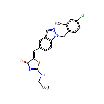 O=C(O)CNC1=NC(=O)/C(=C/c2ccc3c(cnn3Cc3ccc(Cl)cc3C(F)(F)F)c2)S1